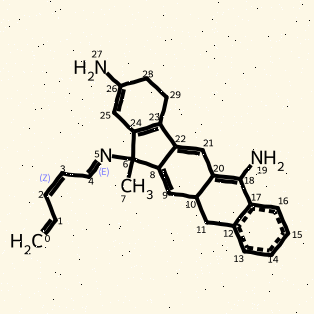 C=C/C=C\C=N\C1(C)C2=CC3Cc4ccccc4C(N)=C3C=C2C2=C1C=C(N)CC2